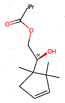 CC(C)C(=O)OC[C@@H](O)C1(C)CC=CC1(C)C